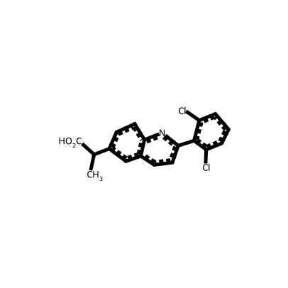 CC(C(=O)O)c1ccc2nc(-c3c(Cl)cccc3Cl)ccc2c1